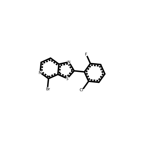 Fc1cccc(Cl)c1-c1nc2ccnc(Br)c2s1